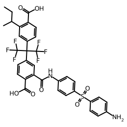 CCC(C)c1cc(C(c2ccc(C(=O)O)c(C(=O)Nc3ccc(S(=O)(=O)c4ccc(N)cc4)cc3)c2)(C(F)(F)F)C(F)(F)F)ccc1C(=O)O